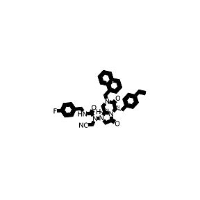 C=Cc1ccc(C[C@H]2C(=O)N(Cc3cccc4ccccc34)C[C@H]3N2C(=O)CN3N(CC#N)C(=O)NCc2ccc(F)cc2)cc1